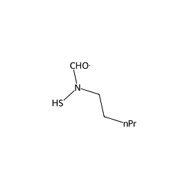 CCCCCN(S)[C]=O